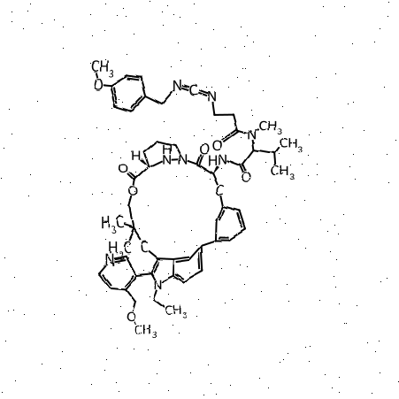 CCn1c(-c2cnccc2COC)c2c3cc(ccc31)-c1cccc(c1)C[C@H](NC(=O)C(C(C)C)N(C)C(=O)CCN=C=NCc1ccc(OC)cc1)C(=O)N1CCC[C@H](N1)C(=O)OCC(C)(C)C2